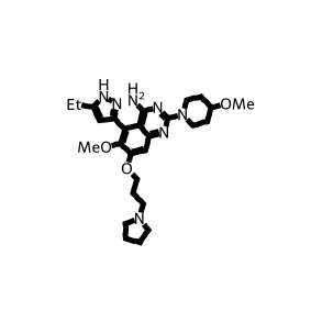 CCc1cc(-c2c(OC)c(OCCCN3CCCC3)cc3nc(N4CCC(OC)CC4)nc(N)c23)n[nH]1